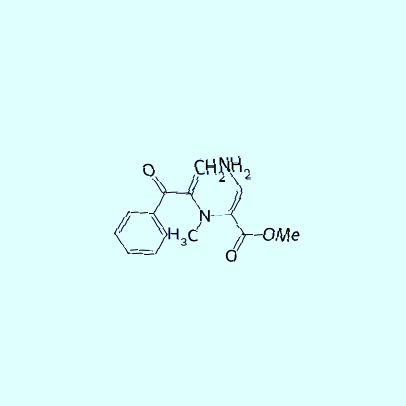 C=C(C(=O)c1ccccc1)N(C)/C(=C\N)C(=O)OC